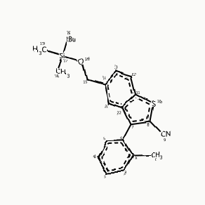 Cc1ccccc1-c1c(C#N)sc2ccc(CO[Si](C)(C)C(C)(C)C)cc12